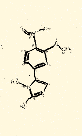 COc1nc(-c2cnc(C)n2C)ccc1[N+](=O)[O-]